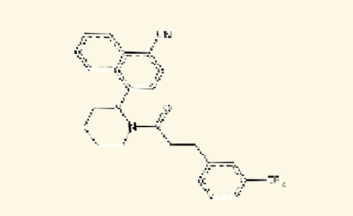 N#Cc1ccc(N2CCCCN2C(=O)CCc2cccc(C(F)(F)F)c2)c2ccccc12